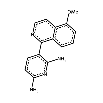 COc1cccc2c(-c3ccc(N)nc3N)nccc12